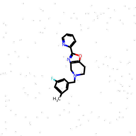 Cc1cc(F)cc(CN2CCc3oc(-c4ccccn4)nc3C2)c1